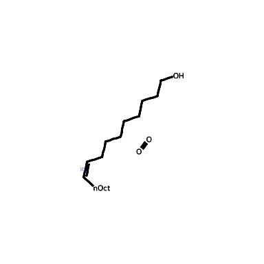 CCCCCCCC/C=C\CCCCCCCCO.O=O